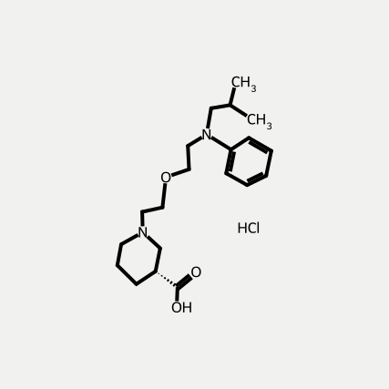 CC(C)CN(CCOCCN1CCC[C@@H](C(=O)O)C1)c1ccccc1.Cl